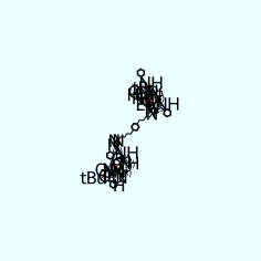 CC[C@@H](C(=O)N[C@@H]1C(=O)N2C(CC[C@@H]1CNCc1ccccc1)CC[C@H]2C(=O)N[C@@H](c1ccccc1)c1cn(CCCCc2ccc(CCCCn3cc([C@@H](NC(=O)[C@@H]4CC[C@@H]5CC[C@H](CNCc6ccccc6)[C@H](NC(=O)[C@H](CC)N(C)C(=O)OC(C)(C)C)C(=O)N54)c4ccccc4)nn3)cc2)nn1)N(C)C(=O)OC(C)(C)C